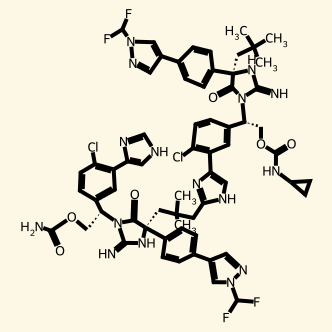 CC(C)(C)C[C@]1(c2ccc(-c3cnn(C(F)F)c3)cc2)NC(=N)N([C@H](COC(=O)NC2CC2)c2ccc(Cl)c(-c3c[nH]c(CC(C)(C)C[C@]4(c5ccc(-c6cnn(C(F)F)c6)cc5)NC(=N)N([C@H](COC(N)=O)c5ccc(Cl)c(-c6c[nH]cn6)c5)C4=O)n3)c2)C1=O